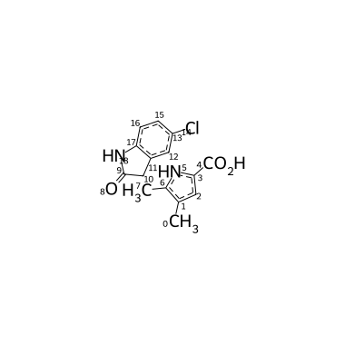 Cc1cc(C(=O)O)[nH]c1C.O=C1Cc2cc(Cl)ccc2N1